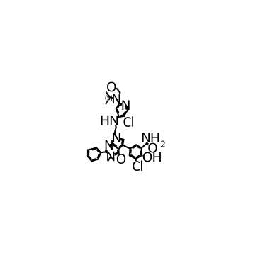 C[C@H]1COCCN1c1cc(NCCn2cc(-c3cc(Cl)c(O)c(C(N)=O)c3)c3c(=O)n(C)c(-c4ccccc4)nc32)c(Cl)cn1